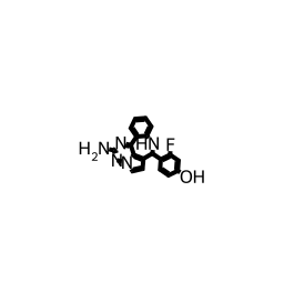 Nc1nc2c3c(ccn3n1)C(c1ccc(O)cc1F)Nc1ccccc1-2